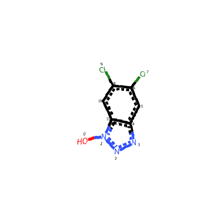 On1nnc2cc(Cl)c(Cl)cc21